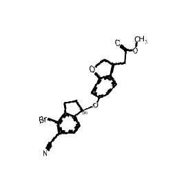 COC(=O)CC1COc2cc(O[C@@H]3CCc4c3ccc(C#N)c4Br)ccc21